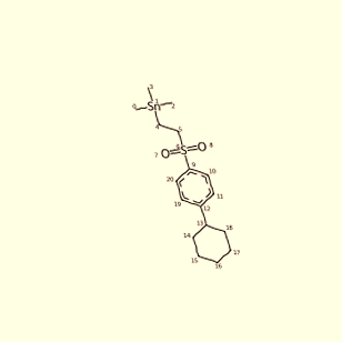 [CH3][Sn]([CH3])([CH3])[CH2]CS(=O)(=O)c1ccc(C2CCCCC2)cc1